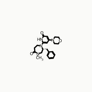 CN1C[C@@H](Cc2ccccc2)N(c2cc(N3CCOCC3)cc(=O)[nH]2)CCC1=O